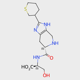 O=C(O)[C@H](CO)NC(=O)[C@@H]1Cc2nc(C3CCCSC3)[nH]c2CN1